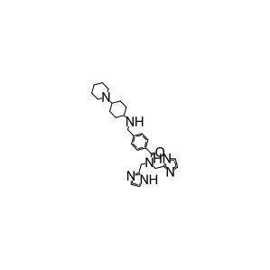 O=C(c1ccc(CNC2CCC(N3CCCCC3)CC2)cc1)N(Cc1ncc[nH]1)Cc1ncc[nH]1